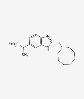 CCOC(=O)C(C)c1ccc2nc(CC3CCCCCCC3)[nH]c2c1